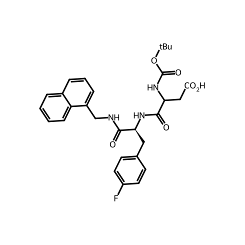 CC(C)(C)OC(=O)NC(CC(=O)O)C(=O)N[C@@H](Cc1ccc(F)cc1)C(=O)NCc1cccc2ccccc12